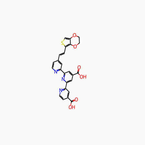 O=C(O)c1ccnc(-c2cc(C(=O)O)cc(-c3cc(/C=C/c4scc5c4OCCO5)ccn3)n2)c1